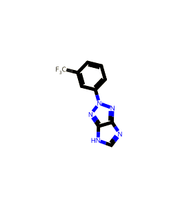 FC(F)(F)c1cccc(-n2nc3n[c][nH]c3n2)c1